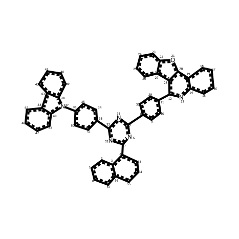 c1ccc2c(-c3nc(-c4ccc(-c5nc6ccccc6c6oc7ccccc7c56)cc4)nc(-c4ccc(-n5c6ccccc6c6ccccc65)cc4)n3)cccc2c1